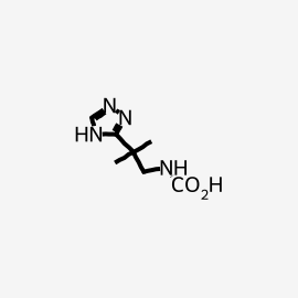 CC(C)(CNC(=O)O)c1nnc[nH]1